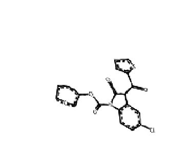 O=C(c1cccs1)C1C(=O)N(C(=O)Oc2ccccc2)c2ccc(Cl)cc21